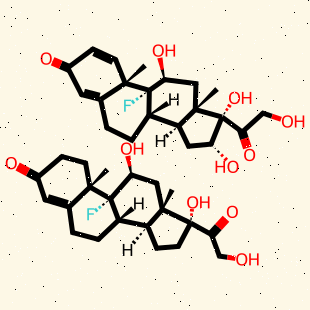 C[C@]12C=CC(=O)C=C1CC[C@H]1[C@@H]3C[C@@H](O)[C@](O)(C(=O)CO)[C@@]3(C)C[C@H](O)[C@@]12F.C[C@]12CCC(=O)C=C1CC[C@H]1[C@@H]3CC[C@](O)(C(=O)CO)[C@@]3(C)C[C@H](O)[C@@]12F